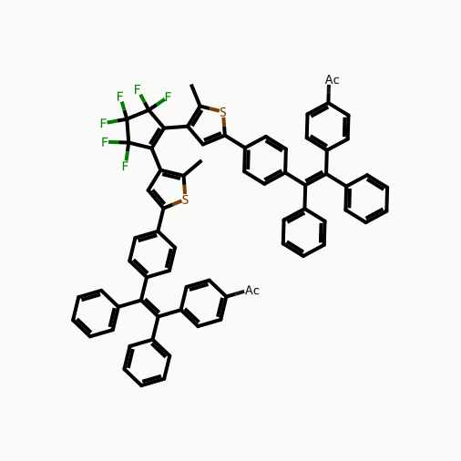 CC(=O)c1ccc(C(=C(c2ccccc2)c2ccc(-c3cc(C4=C(c5cc(-c6ccc(C(=C(c7ccccc7)c7ccc(C(C)=O)cc7)c7ccccc7)cc6)sc5C)C(F)(F)C(F)(F)C4(F)F)c(C)s3)cc2)c2ccccc2)cc1